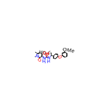 COc1cccc(Oc2ccc(C(CC(=O)O)NC(=O)Nc3c(O)cc(C)n(C)c3=O)cc2)c1